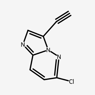 C#Cc1cnc2ccc(Cl)nn12